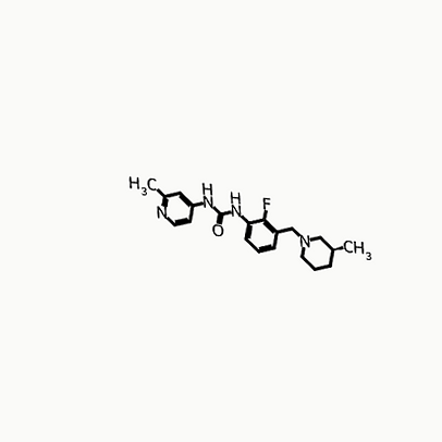 Cc1cc(NC(=O)Nc2cccc(CN3CCC[C@H](C)C3)c2F)ccn1